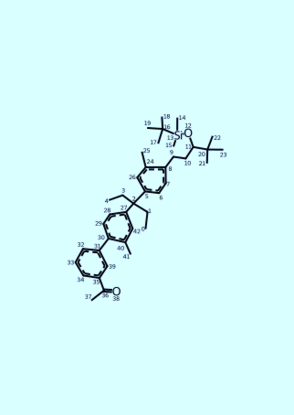 CCC(CC)(c1ccc(CCC(O[Si](C)(C)C(C)(C)C)C(C)(C)C)c(C)c1)c1ccc(-c2cccc(C(C)=O)c2)c(C)c1